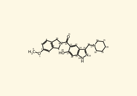 COc1ccc2c(c1)CN(C(=O)c1cc3c(CN4CCCCC4)n[nH]c3cc1O)C2